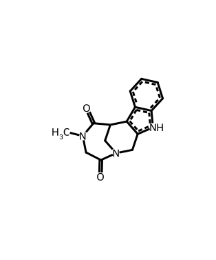 CN1CC(=O)N2Cc3[nH]c4ccccc4c3C(C2)C1=O